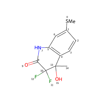 CSc1ccc2c(c1)NC(=O)C(F)(F)C2(C)O